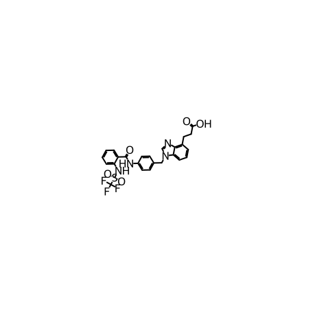 O=C(O)CCc1cccc2c1ncn2Cc1ccc(NC(=O)c2ccccc2NS(=O)(=O)C(F)(F)F)cc1